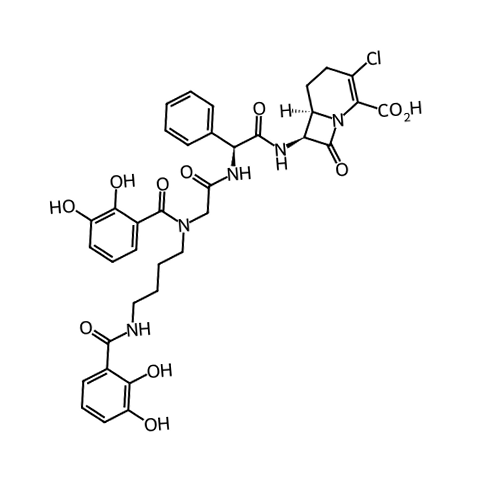 O=C(CN(CCCCNC(=O)c1cccc(O)c1O)C(=O)c1cccc(O)c1O)N[C@H](C(=O)N[C@@H]1C(=O)N2C(C(=O)O)=C(Cl)CC[C@H]12)c1ccccc1